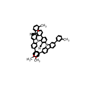 Cc1cccc(-c2ccc3c4ccc(-c5cccc(C)c5)cc4n(-c4ccc(-c5cccc(C#N)c5)c(-n5c6cc(-c7cccc(C)c7)ccc6c6ccc(-c7cccc(C)c7)cc65)c4C#N)c3c2)c1